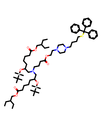 CCC(CC)COC(=O)CCCCC(CN(CCCC(=O)OCCN1CCN(CCCCSC(c2ccccc2)(c2ccccc2)c2ccccc2)CC1)CC(CCCCC(=O)OCC(CC)CC)O[Si](C)(C)C(C)(C)C)O[Si](C)(C)C(C)(C)C